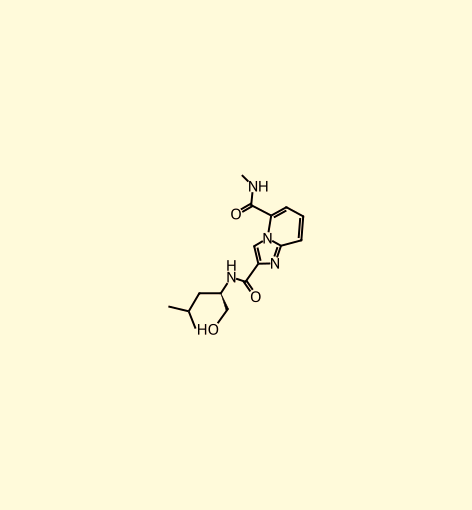 CNC(=O)c1cccc2nc(C(=O)N[C@@H](CO)CC(C)C)cn12